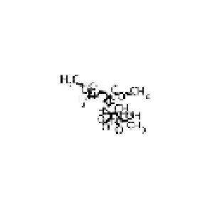 C=CCOC(=O)N(C)C/C=C\[C@@H]1C[C@H](SC2=C(C(=O)O)N3C(=O)[C@H]([C@@H](C)O)[C@H]3[C@H]2C)CN1C(=O)OCC=C